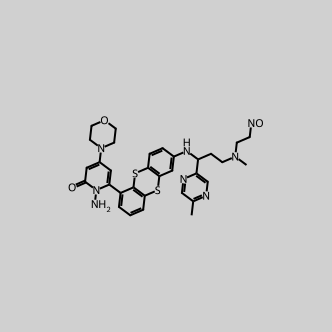 Cc1cnc(C(CCN(C)CCN=O)Nc2ccc3c(c2)Sc2cccc(-c4cc(N5CCOCC5)cc(=O)n4N)c2S3)cn1